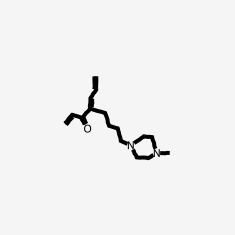 C=C/C=C(\CCCCN1CCN(C)CC1)C(=O)C=C